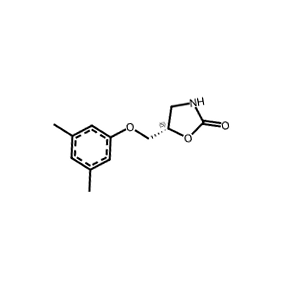 Cc1cc(C)cc(OC[C@@H]2CNC(=O)O2)c1